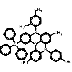 Cc1ccc(N2c3ccc([Si](c4ccccc4)(c4ccccc4)c4ccccc4)cc3B3c4cc(C(C)(C)C)ccc4N(c4ccc(C(C)(C)C)cc4)c4cc(C)cc2c43)c(C)c1